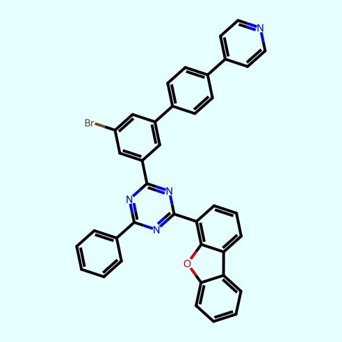 Brc1cc(-c2ccc(-c3ccncc3)cc2)cc(-c2nc(-c3ccccc3)nc(-c3cccc4c3oc3ccccc34)n2)c1